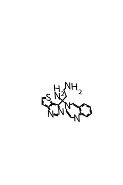 NCCC(N)(c1ncnc2ccsc12)N1C=CN=c2ccccc2=C1